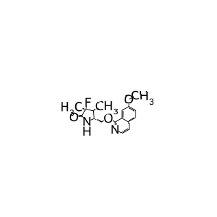 COc1ccc2ccnc(OC[C@H]3NC(=O)[C@](C)(F)[C@H]3C)c2c1